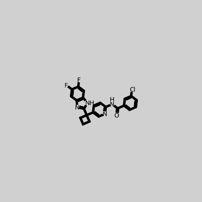 O=C(Nc1ccc(C2(c3nc4cc(F)c(F)cc4[nH]3)CCC2)cn1)c1cccc(Cl)c1